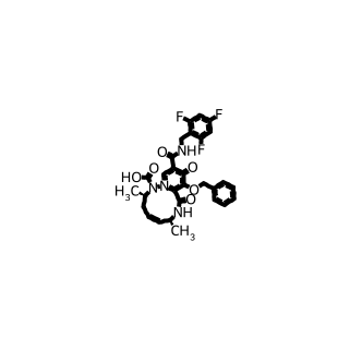 C[C@@H]1C/C=C\[C@H](C)NC(=O)c2c(OCc3ccccc3)c(=O)c(C(=O)NCc3c(F)cc(F)cc3F)cn2N1C(=O)O